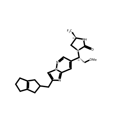 COC[C@H](c1cnn2cc(CC3CC4=C(CCC4)C3)nc2c1)N1C[C@@H](C(F)(F)F)NC1=O